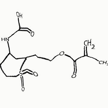 C=C(C)C(=O)OCCC1C(NC(=O)O)CCS1(=O)=O